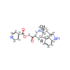 CN1CC(C(=O)COC(=O)c2ccncc2)C[C@@H]2c3cccc4[nH]cc(c34)C[C@H]21